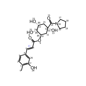 Cc1ccc(/C=C/C(=O)O[C@@H]2C[C@](O)(C(=O)N3CCCC3)C[C@@H](O)[C@H]2O)cc1O